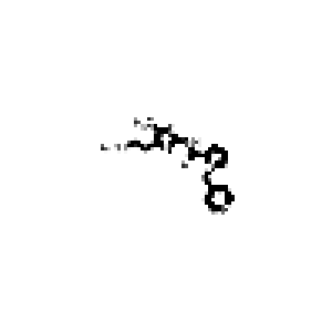 CC(=O)NCCc1nc(NC(=O)c2cccn2Cc2ccncc2)sc1C